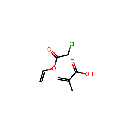 C=C(C)C(=O)O.C=COC(=O)CCl